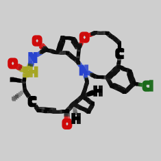 C[C@@H]1[C@@H](C)C/C=C/C(=O)[C@@H]2CC[C@H]2CN2Cc3ccc(Cl)cc3CCCCOC3=CC=C(CC32)C(=O)/N=[SH]\1=O